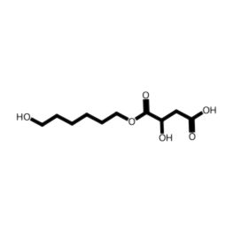 O=C(O)CC(O)C(=O)OCCCCCCO